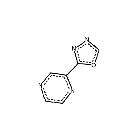 [c]1nnc(-c2cnccn2)o1